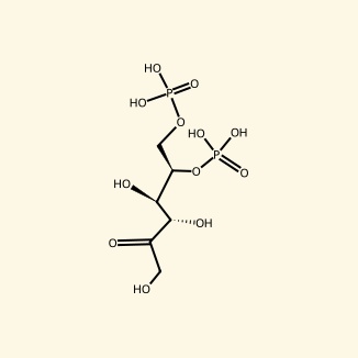 O=C(CO)[C@@H](O)[C@@H](O)[C@@H](COP(=O)(O)O)OP(=O)(O)O